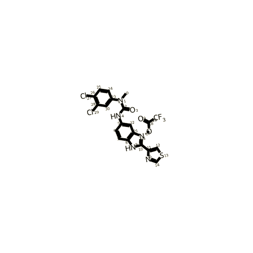 CN(C(=O)Nc1ccc2[nH]c(-c3cscn3)[n+](OC(=O)C(F)(F)F)c2c1)c1ccc(Cl)c(Cl)c1